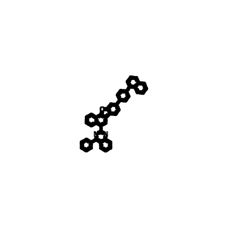 c1ccc(-c2nc(-c3cc4c5ccc(-c6ccc(-c7cccc8ccccc78)cc6)cc5oc4c4ccccc34)nc3ccccc23)cc1